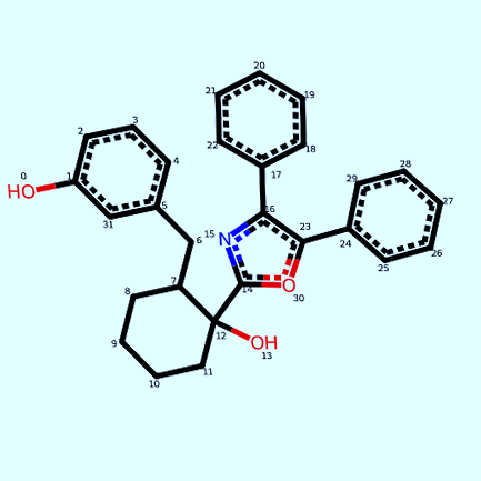 Oc1cccc(CC2CCCCC2(O)c2nc(-c3ccccc3)c(-c3ccccc3)o2)c1